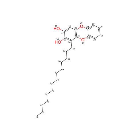 CCCCCCCCCCCCCCc1c(O)c(O)cc2c1Oc1ccccc1O2